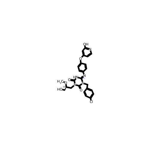 CO[C@H](CO)Cn1c(=O)[nH]/c(=N\c2ccc(Oc3ccnc(O)c3)cc2)n(Cc2ccc(Cl)cc2)c1=O